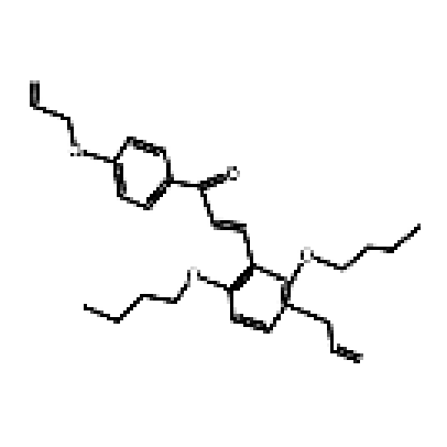 C=CCOc1ccc(C(=O)C=Cc2c(OCCCC)ccc(CC=C)c2OCCCC)cc1